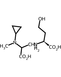 CC(C(=O)O)N(C)C1CC1.N[C@@H](CCO)C(=O)O